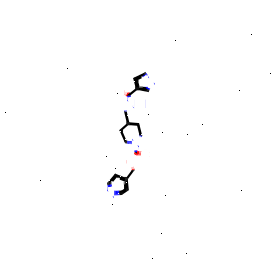 O=C(NCC1CCN(C(=O)OCc2ccncc2)CC1)c1cc[nH]c1